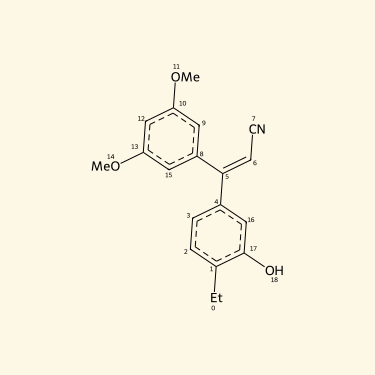 CCc1ccc(C(=CC#N)c2cc(OC)cc(OC)c2)cc1O